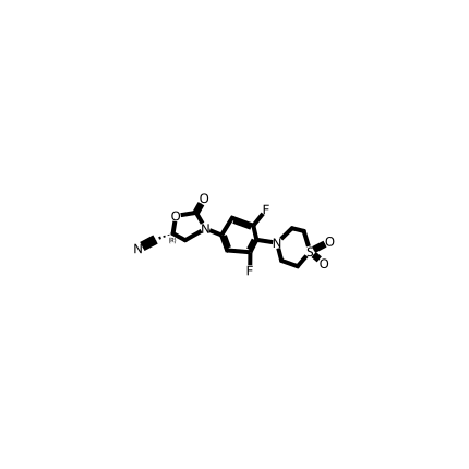 N#C[C@H]1CN(c2cc(F)c(N3CCS(=O)(=O)CC3)c(F)c2)C(=O)O1